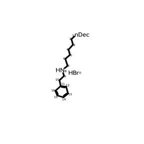 Br.CCCCCCCCCCCCCCCCNCCc1ccccc1